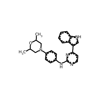 CC1CN(c2ccc(Nc3nccc(-c4c[nH]c5ccccc45)n3)cc2)CC(C)O1